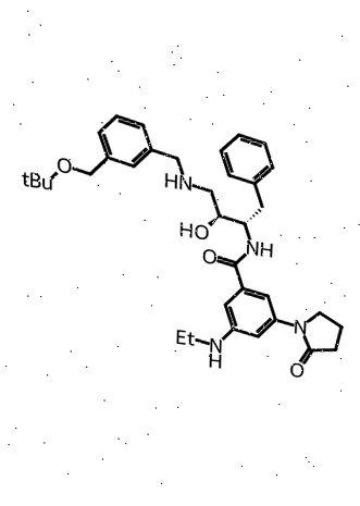 CCNc1cc(C(=O)N[C@@H](Cc2ccccc2)[C@@H](O)CNCc2cccc(COC(C)(C)C)c2)cc(N2CCCC2=O)c1